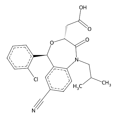 CC(C)CN1C(=O)[C@@H](CC(=O)O)O[C@H](c2ccccc2Cl)c2cc(C#N)ccc21